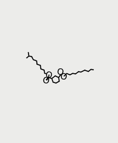 CCCCCCCCCCOC(=O)C1CCCC(C(=O)OCCCCCCCCC(C)C)C1